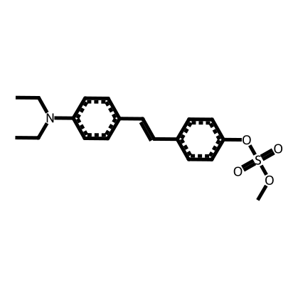 CCN(CC)c1ccc(/C=C/c2ccc(OS(=O)(=O)OC)cc2)cc1